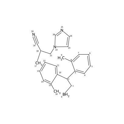 BCC(c1ccccc1C)c1ccccc1C.CC(C#N)Cn1ccnc1